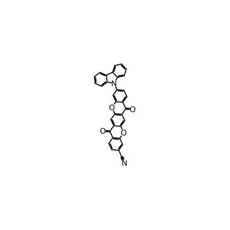 N#Cc1ccc2c(=O)c3cc4oc5cc(-n6c7ccccc7c7ccccc76)ccc5c(=O)c4cc3oc2c1